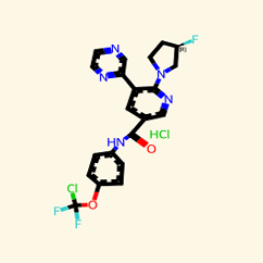 Cl.O=C(Nc1ccc(OC(F)(F)Cl)cc1)c1cnc(N2CC[C@@H](F)C2)c(-c2cnccn2)c1